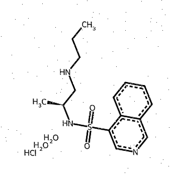 CCCNC[C@H](C)NS(=O)(=O)c1cncc2ccccc12.Cl.O.O